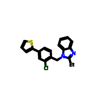 CCc1nc2ccccc2n1Cc1ccc(-c2cccs2)cc1Cl